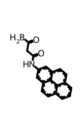 BC(=O)CC(=O)Nc1cc2ccc3cccc4ccc(c1)c2c34